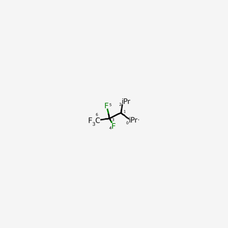 C[C](C)C(C(C)C)C(F)(F)C(F)(F)F